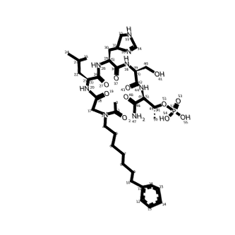 CC(=O)N(CCCCCCCc1ccccc1)CC(=O)N[C@@H](CC(C)C)C(=O)N[C@@H](CC1CNC=N1)C(=O)N[C@@H](CO)C(=O)N[C@H](C(N)=O)[C@@H](C)OP(=O)(O)O